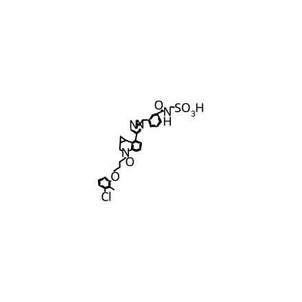 Cc1c(Cl)cccc1OCCCC(=O)N1CC2CC2c2c(-c3cnn(Cc4cccc(C(=O)NCS(=O)(=O)O)c4)c3)cccc21